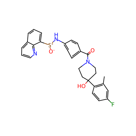 Cc1cc(F)ccc1C1(O)CCN(C(=O)c2ccc(N[S+]([O-])c3cccc4cccnc34)cc2)CC1